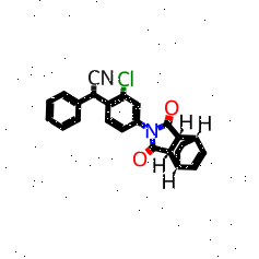 N#CC(c1ccccc1)c1ccc(N2C(=O)[C@@H]3[C@H](C2=O)[C@@H]2C=C[C@H]3CC2)cc1Cl